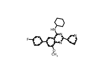 COc1cc(-c2ccc(F)cc2)cc2c(NC3CCCCC3)nc(-c3cccnc3)nc12